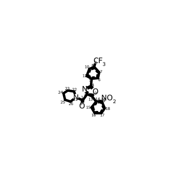 O=C(c1nc(-c2ccc(C(F)(F)F)cc2)oc1-c1ccccc1[N+](=O)[O-])N1CCCCC1